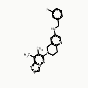 Cc1c(N2CCc3ncc(NCc4cccc(F)c4)cc3C2)nn2cnnc2c1C